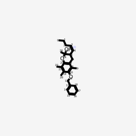 CCC/C=C\C1Cc2c(C)c(OCc3ccccc3)c(C)c(C)c2OC1(C)O